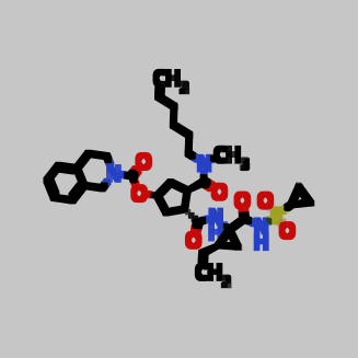 C=CCCCCN(C)C(=O)[C@@H]1C[C@H](OC(=O)N2CCc3ccccc3C2)C[C@H]1C(=O)N[C@]1(C(=O)NS(=O)(=O)C2CC2)C[C@H]1C=C